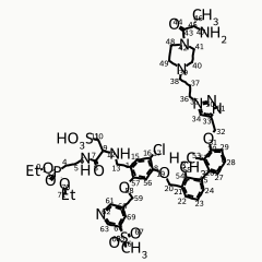 CCOP(=O)(CCNC(=O)C(CS(=O)(=O)O)NCc1cc(Cl)c(OCc2cccc(-c3cccc(OCc4cn(CCCN5CCN(C(=O)[C@H](C)N)CC5)nn4)c3C)c2C)cc1OCc1cncc(S(C)(=O)=O)c1)OCC